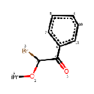 CC(C)OC(Br)C(=O)c1ccccc1